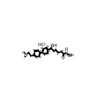 CN(C)CCc1ccc(-c2ccc([C@H](O)CCCCC(=O)NO)cc2)cc1.Cl